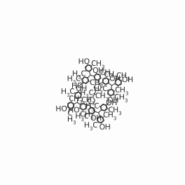 Cc1cc(C(c2cc(C)c(O)cc2C)c2cc(C3(c4cc(C)c(O)c(C(c5cc(C)c(O)cc5C)c5cc(C)c(O)cc5C)c4)CCC(C(C)(C)C4CCC(c5cc(C)c(O)c(C(c6cc(C)c(O)cc6C)c6cc(C)c(O)cc6C)c5)(c5cc(C)c(O)c(C(c6cc(C)c(O)cc6C)c6cc(C)c(O)cc6C)c5)CC4)CC3)cc(C)c2O)c(C)cc1O